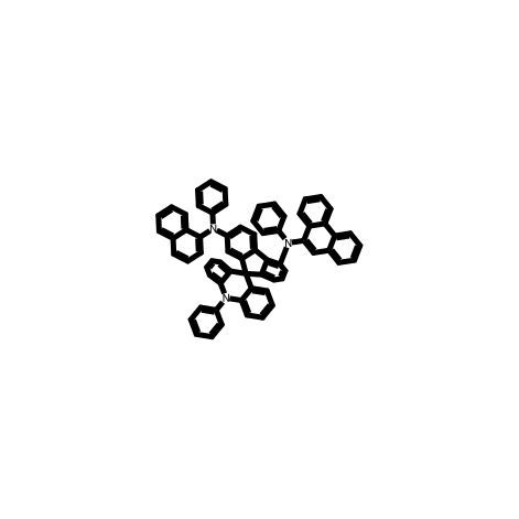 c1ccc(N2c3ccccc3C3(c4cc(N(c5ccccc5)c5cccc6ccccc56)ccc4-c4c(N(c5ccccc5)c5cc6ccccc6c6ccccc56)cccc43)c3ccccc32)cc1